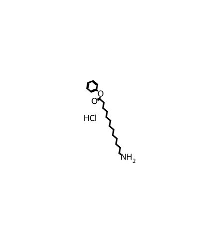 Cl.NCCCCCCCCCCCCC(=O)Oc1ccccc1